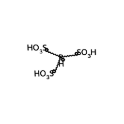 O=S(=O)(O)c1ccc(CCCCCCCCCC[PH](CCCCCCCCCCc2ccc(S(=O)(=O)O)cc2)(CCCCCCCCCCc2ccc(S(=O)(=O)O)cc2)c2ccccc2)cc1